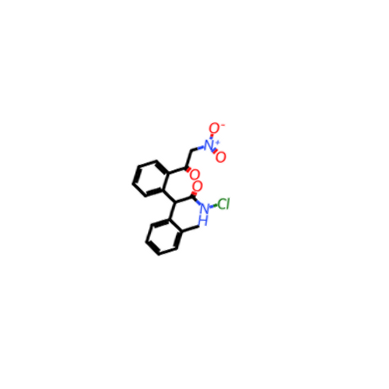 Cc1ccccc1C(C(=O)NCl)c1ccccc1C(=O)C[N+](=O)[O-]